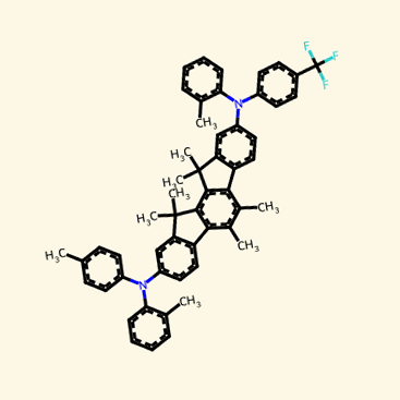 Cc1ccc(N(c2ccc3c(c2)C(C)(C)c2c-3c(C)c(C)c3c2C(C)(C)c2cc(N(c4ccc(C(F)(F)F)cc4)c4ccccc4C)ccc2-3)c2ccccc2C)cc1